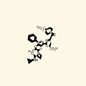 CCOC(=O)N1CCN(C(=O)[C@H](CCC(=O)O)NC(=O)c2cc(OC(C)C(=O)N3CC[C@H]3C(=O)NC3CC3)n(-c3ccccc3)n2)CC1